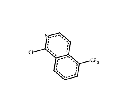 FC(F)(F)c1cccc2c(Cl)nccc12